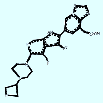 COc1cc(-c2[nH]c3cnc(N4CCN(C5COC5)CC4)c(F)c3c2C(C)C)cn2ncnc12